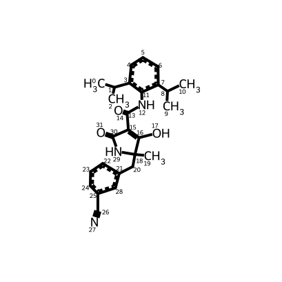 CC(C)c1cccc(C(C)C)c1NC(=O)C1=C(O)C(C)(Cc2cccc(C#N)c2)NC1=O